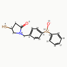 O=C1CC(S)CN1Cc1ccc([S+]([O-])c2ccccc2)cc1